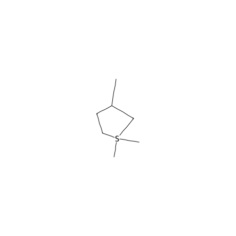 CC1CCS(C)(C)C1